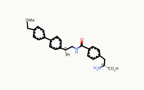 COCc1ccc(-c2ccc([C@H](CNC(=O)c3ccc(C[C@@H](N)C(=O)O)cc3)C(C)C)cc2)cc1